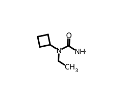 CCN(C([NH])=O)C1CCC1